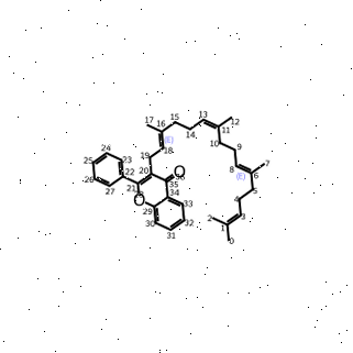 CC(C)=CCC/C(C)=C/CCC(C)=CCC/C(C)=C/Cc1c(-c2ccccc2)oc2ccccc2c1=O